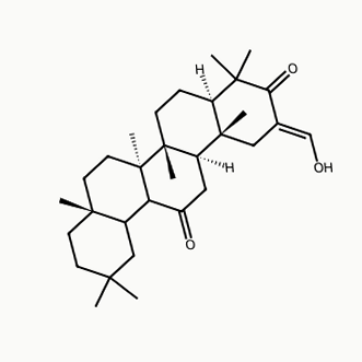 CC1(C)CC[C@]2(C)CC[C@]3(C)C(C(=O)C[C@@H]4[C@@]5(C)C/C(=C\O)C(=O)C(C)(C)[C@@H]5CC[C@]43C)C2C1